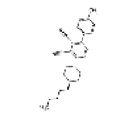 CCCCC[C@H]1CC[C@H](c2ccc(-c3ccc(C)cc3)c(C#N)c2C#N)CC1